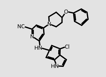 N#Cc1cc(N2CCC(Oc3ccccc3)CC2)cc(Nc2cc(Cl)c3cc[nH]c3c2)n1